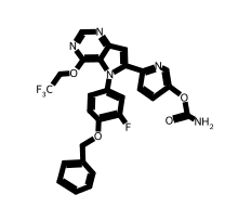 NC(=O)Oc1ccc(-c2cc3ncnc(OCC(F)(F)F)c3n2-c2ccc(OCc3ccccc3)c(F)c2)nc1